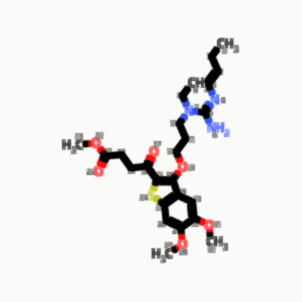 CC/C=C/N=C(/N)N(CC)CCCOc1c(C(=O)CCC(=O)OC)sc2cc(OC)c(OC)cc12